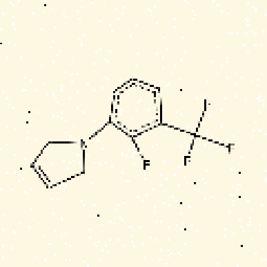 Fc1c(N2CC=CC2)cccc1C(F)(F)F